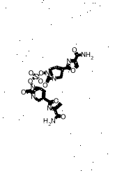 NC(=O)c1coc(C2=CC3CN(C2)C(=O)N3OS(=O)(=O)ON2C(=O)N3CC(c4nc(C(N)=O)co4)=CC2C3)n1